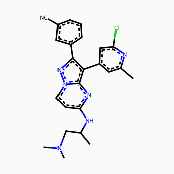 Cc1cc(-c2c(-c3cccc(C#N)c3)nn3ccc(NC(C)CN(C)C)nc23)cc(Cl)n1